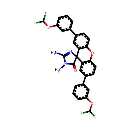 CN1C(=O)C2(N=C1N)c1cc(-c3cccc(OC(F)F)c3)ccc1Oc1ccc(-c3cccc(OC(F)F)c3)cc12